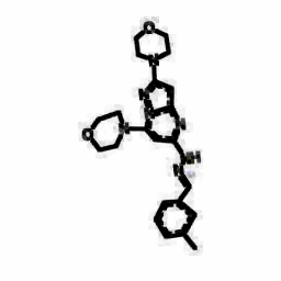 Cc1cccc(/C=N/Nc2cc(N3CCOCC3)n3nc(N4CCOCC4)cc3n2)c1